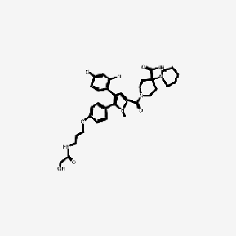 Cn1c(C(=O)N2CCC(C(N)=O)(N3CCCCC3)CC2)cc(-c2ccc(Cl)cc2Cl)c1-c1ccc(OCCCNC(=O)CO)cc1